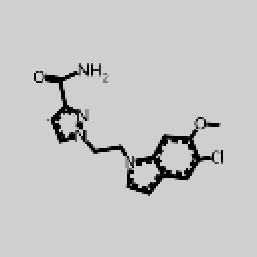 COc1cc2c(ccn2CCn2c[c]c(C(N)=O)n2)cc1Cl